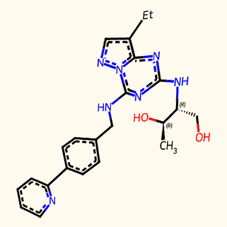 CCc1cnn2c(NCc3ccc(-c4ccccn4)cc3)nc(N[C@H](CO)[C@@H](C)O)nc12